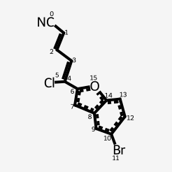 N#CC=CC=C(Cl)c1cc2cc(Br)ccc2o1